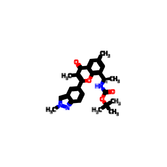 Cc1cc([C@@H](C)NC(=O)OC(C)(C)C)c2oc(-c3ccc4nn(C)cc4c3)c(C)c(=O)c2c1